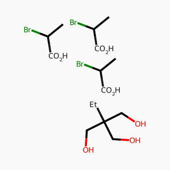 CC(Br)C(=O)O.CC(Br)C(=O)O.CC(Br)C(=O)O.CCC(CO)(CO)CO